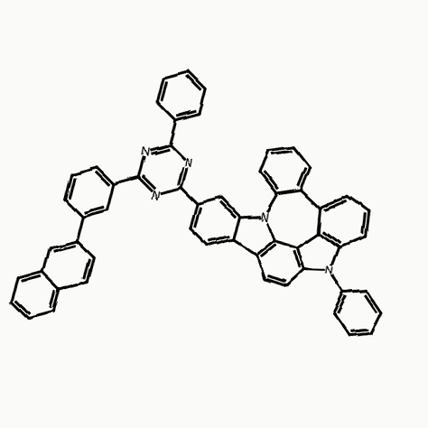 c1ccc(-c2nc(-c3cccc(-c4ccc5ccccc5c4)c3)nc(-c3ccc4c5ccc6c7c8c(cccc8n6-c6ccccc6)c6ccccc6n(c4c3)c57)n2)cc1